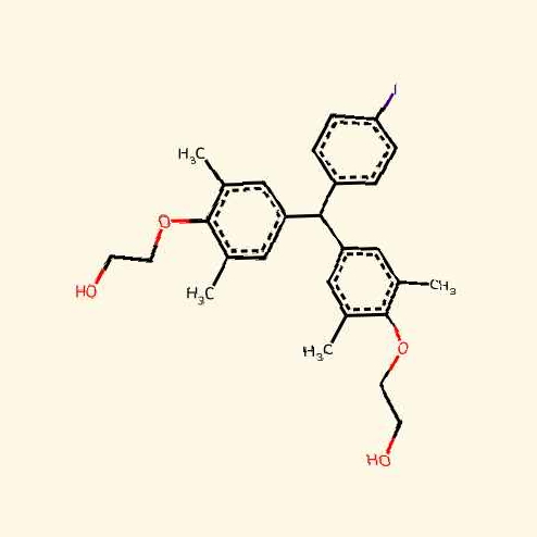 Cc1cc(C(c2ccc(I)cc2)c2cc(C)c(OCCO)c(C)c2)cc(C)c1OCCO